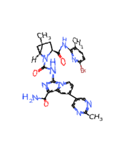 Cc1ncc(-c2ccn3c(NC(=O)N4[C@H](C(=O)Nc5nc(Br)ccc5C)C[C@@]5(C)C[C@@H]45)nc(C(N)=O)c3c2)cn1